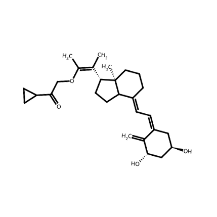 C=C1/C(=C\C=C2/CCC[C@@]3(C)C2CC[C@@H]3/C(C)=C(/C)OCC(=O)C2CC2)C[C@@H](O)C[C@@H]1O